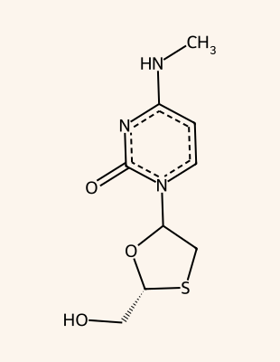 CNc1ccn(C2CS[C@H](CO)O2)c(=O)n1